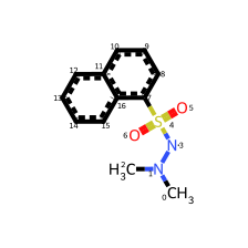 CN(C)[N]S(=O)(=O)c1cccc2ccccc12